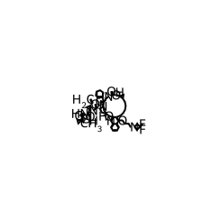 C=C[C@@H]1C[C@]1(NC(=O)[C@@H]1C[C@@H]2CN1C(=O)[C@H](C1CCCCC1)NC(=O)O[C@@H]1CC1CCCCCc1c(nc3ccccc3c1OCCCN1CC(F)(F)C1)O2)C(=O)NS(=O)(=O)C1(C)CC1